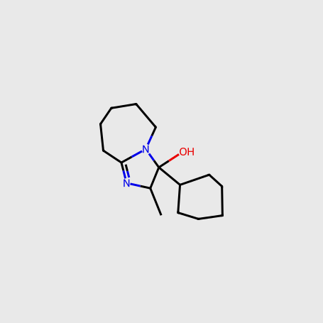 CC1N=C2CCCCCN2C1(O)C1CCCCC1